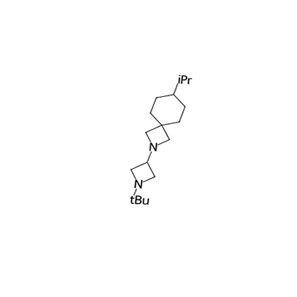 CC(C)C1CCC2(CC1)CN(C1CN(C(C)(C)C)C1)C2